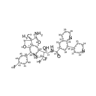 C[C@]1(C(N)=O)COc2c1cc([C@@](O)(CNC(=O)c1cc(-c3ccncc3)c3ncccc3c1)C(F)(F)F)nc2-c1ccc(F)cc1